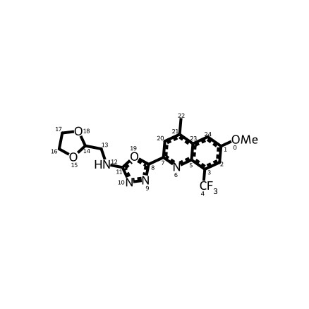 COc1cc(C(F)(F)F)c2nc(-c3nnc(NCC4OCCO4)o3)cc(C)c2c1